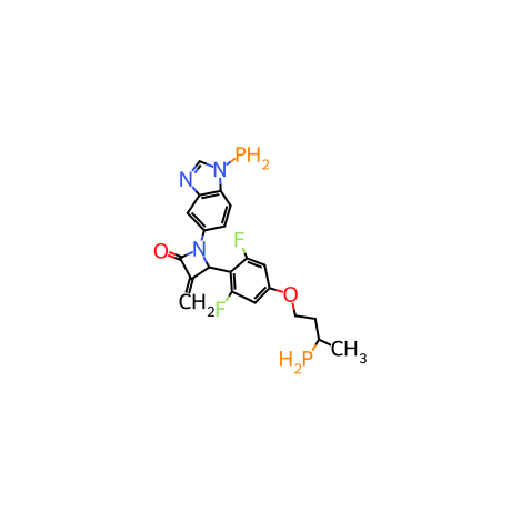 C=C1C(=O)N(c2ccc3c(c2)ncn3P)C1c1c(F)cc(OCCC(C)P)cc1F